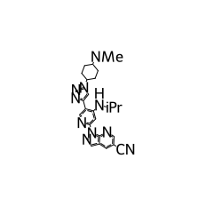 CNC1CCC(n2cc(-c3cnc(-n4ncc5cc(C#N)cnc54)cc3NC(C)C)nn2)CC1